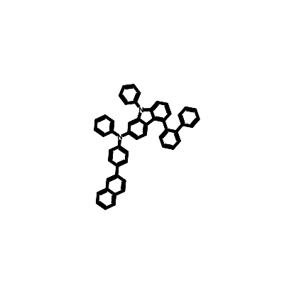 c1ccc(-c2ccccc2-c2cccc3c2c2ccc(N(c4ccccc4)c4ccc(-c5ccc6ccccc6c5)cc4)cc2n3-c2ccccc2)cc1